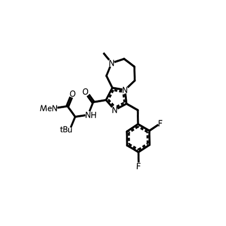 CNC(=O)C(NC(=O)c1nc(Cc2ccc(F)cc2F)n2c1CN(C)CCC2)C(C)(C)C